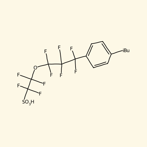 CCC(C)c1ccc(C(F)(F)C(F)(F)C(F)(F)OC(F)(F)C(F)(F)S(=O)(=O)O)cc1